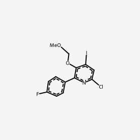 COCOc1c(I)cc(Cl)nc1-c1ccc(F)cc1